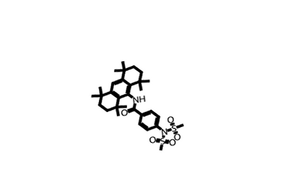 CC1(C)CCC(C)(C)c2c1cc1c(c2NC(=O)c2ccc(N(S(C)(=O)=O)S(C)(=O)=O)cc2)C(C)(C)CCC1(C)C